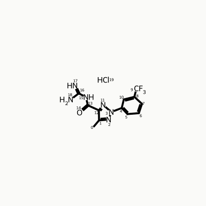 Cc1nn(-c2cccc(C(F)(F)F)c2)nc1C(=O)NC(=N)N.Cl